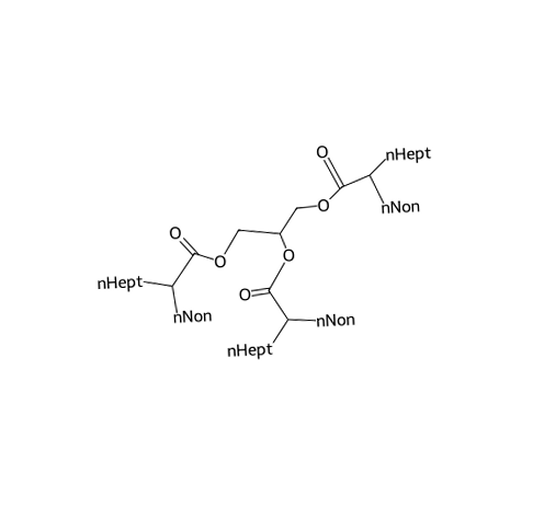 CCCCCCCCCC(CCCCCCC)C(=O)OCC(COC(=O)C(CCCCCCC)CCCCCCCCC)OC(=O)C(CCCCCCC)CCCCCCCCC